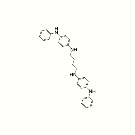 c1ccc(Nc2ccc(NCCCCNc3ccc(Nc4ccccc4)cc3)cc2)cc1